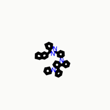 c1ccc(-n2c3ccccc3c3c4c5ccccc5n(-c5cccc(-c6nc(-c7ccc8ccccc8c7)c7ccccc7n6)c5)c4ccc32)cc1